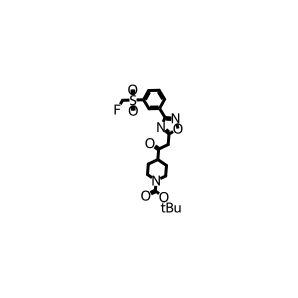 CC(C)(C)OC(=O)N1CCC(C(=O)Cc2nc(-c3cccc(S(=O)(=O)CF)c3)no2)CC1